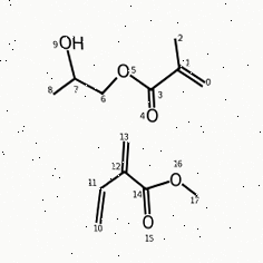 C=C(C)C(=O)OCC(C)O.C=CC(=C)C(=O)OC